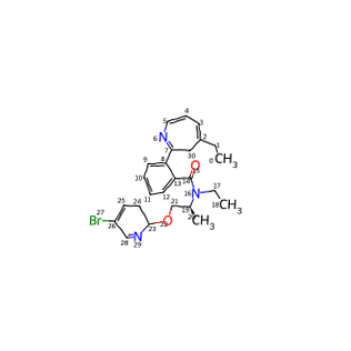 CCC1=CC=CN=C(c2ccccc2C(=O)N(CC)[C@@H](C)COC2CC=C(Br)C=N2)C1